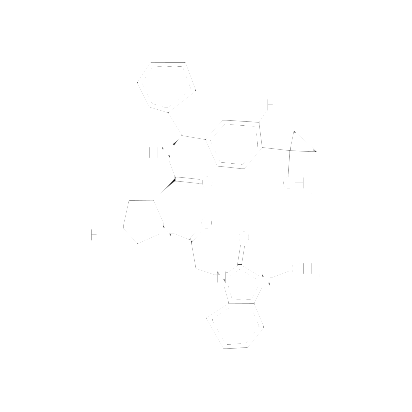 Cn1c(=O)n(CC(=O)N2C[C@H](F)C[C@H]2C(=O)N[C@@H](c2ccccc2)c2ccc(C3(C)CC3)c(F)c2)c2ccccc21